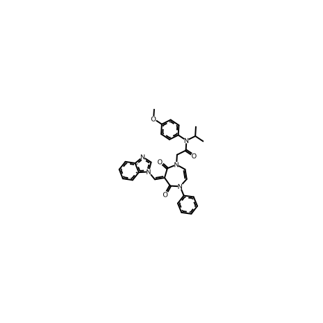 COc1ccc(N(C(=O)CN2C=CN(c3ccccc3)C(=O)C(=Cn3cnc4ccccc43)C2=O)C(C)C)cc1